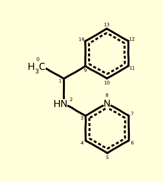 CC(Nc1ccccn1)c1ccccc1